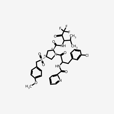 COc1ccc(CS(=O)(=O)[C@@H]2C[C@@H](C(=O)NC(C(=O)C(F)(F)F)C(C)C)N(C(=O)C(Cc3cccc(Cl)c3)NC(=O)c3ccccn3)C2)cc1